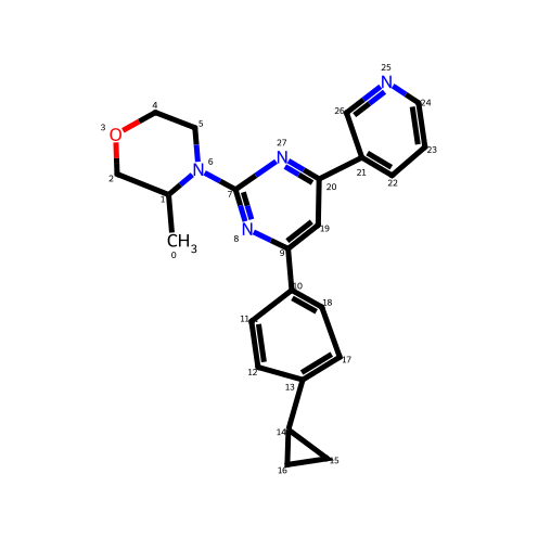 CC1COCCN1c1nc(-c2[c]cc(C3CC3)cc2)cc(-c2cccnc2)n1